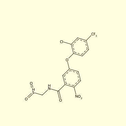 O=C(NC[SH](=O)=O)c1cc(Oc2ccc(C(F)(F)F)cc2Cl)ccc1[N+](=O)[O-]